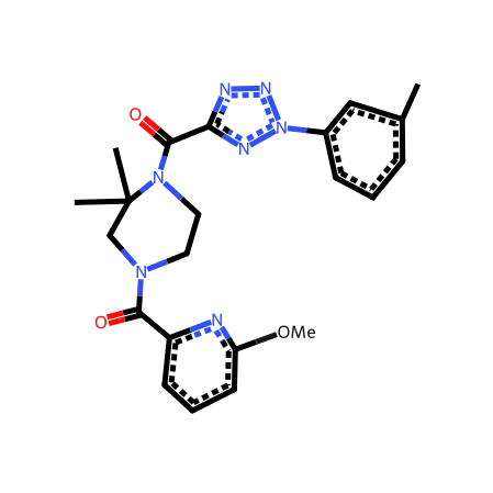 COc1cccc(C(=O)N2CCN(C(=O)c3nnn(-c4cccc(C)c4)n3)C(C)(C)C2)n1